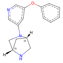 c1ccc(Oc2cncc(N3C[C@@H]4C[C@H]3CN4)c2)cc1